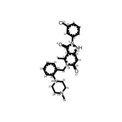 Cc1c2c(=O)n(-c3cccc(Cl)c3)[nH]c2cc(=O)n1Cc1ccccc1N1CCN(C)CC1